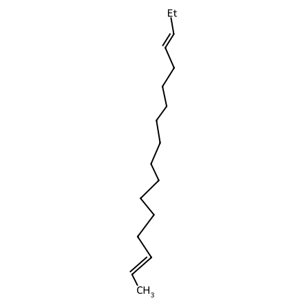 [CH2]C/C=C/CCCCCCCCCC/C=C/C